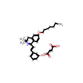 CCCCCCCOc1ccc2c(c1)CC(C)(C)N=C2/C=C/c1ccccc1.O=C(O)/C=C/C(=O)O